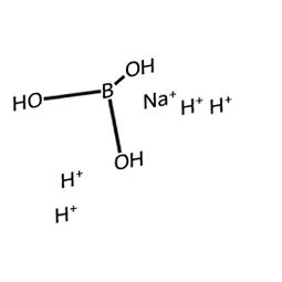 OB(O)O.[H+].[H+].[H+].[H+].[Na+]